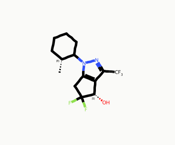 C[C@@H]1CCCCC1n1nc(C(F)(F)F)c2c1CC(F)(F)[C@H]2O